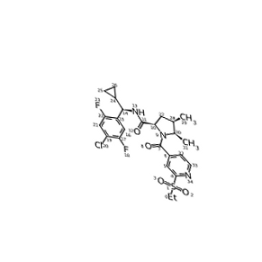 CCS(=O)(=O)c1cc(C(=O)N2[C@@H](C(=O)N[C@@H](c3cc(F)c(Cl)cc3F)C3CC3)C[C@@H](C)[C@H]2C)ccn1